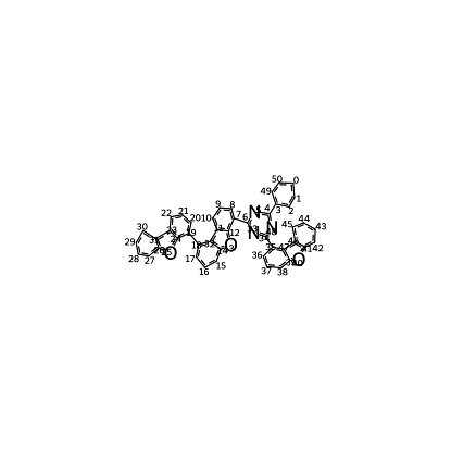 c1ccc(-c2nc(-c3cccc4c3oc3cccc(-c5cccc6c5oc5ccccc56)c34)nc(-c3cccc4oc5ccccc5c34)n2)cc1